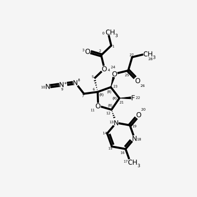 CCC(=O)OC[C@@]1(CN=[N+]=[N-])O[C@@H](n2ccc(C)nc2=O)[C@H](F)[C@@H]1OC(=O)CC